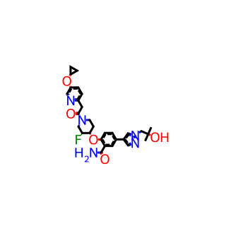 CC(C)(O)Cn1cc(-c2ccc(O[C@@H]3CCN(C(=O)Cc4ccc(OC5CC5)cn4)C[C@H]3F)c(C(N)=O)c2)cn1